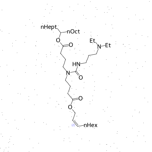 CCCCCC/C=C\COC(=O)CCCN(CCCC(=O)OC(CCCCCCC)CCCCCCCC)C(=O)NCCCN(CC)CC